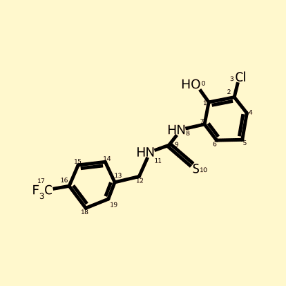 Oc1c(Cl)cccc1NC(=S)NCc1ccc(C(F)(F)F)cc1